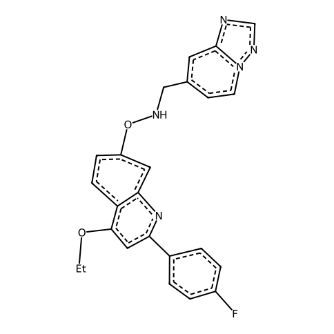 CCOc1cc(-c2ccc(F)cc2)nc2cc(ONCc3ccn4ncnc4c3)ccc12